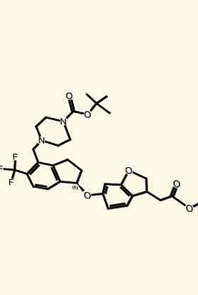 COC(=O)CC1COc2cc(O[C@@H]3CCc4c3ccc(C(F)(F)F)c4CN3CCN(C(=O)OC(C)(C)C)CC3)ccc21